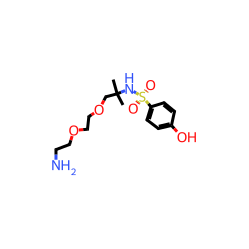 CC(C)(COCCOCCN)NS(=O)(=O)c1ccc(O)cc1